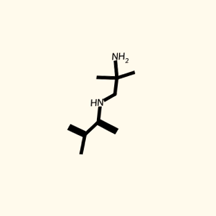 C=C(C)C(=C)NCC(C)(C)N